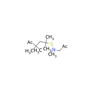 CC(=O)CN(C)SC(C)(C)CC(C)(C)C(C)=O